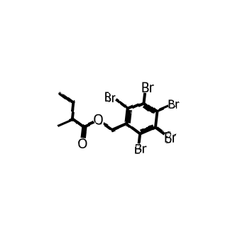 CCC(C)C(=O)OCc1c(Br)c(Br)c(Br)c(Br)c1Br